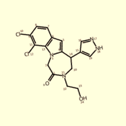 O=C1Cn2c(cc3ccc(Cl)c(Cl)c32)C(c2cn[nH]c2)CN1CCO